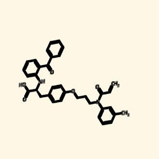 C=CC(=O)N(CCCOc1ccc(C[C@H](Nc2ccccc2C(=O)c2ccccc2)C(=O)O)cc1)c1cccc(C)c1